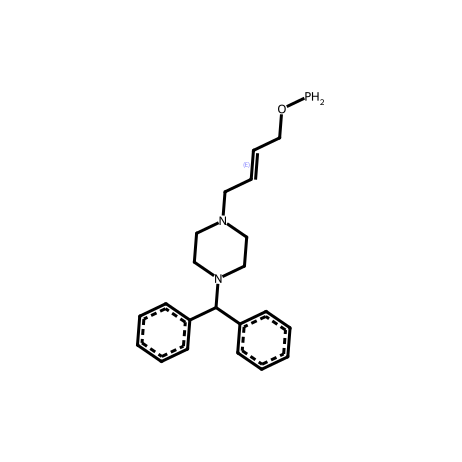 POC/C=C/CN1CCN(C(c2ccccc2)c2ccccc2)CC1